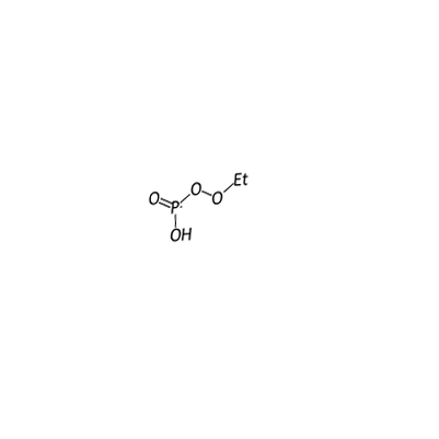 CCOO[P](=O)O